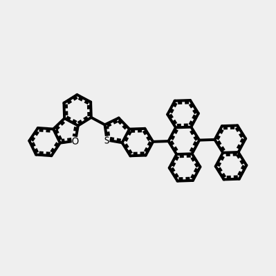 c1ccc2c(-c3c4ccccc4c(-c4ccc5sc(-c6cccc7c6oc6ccccc67)cc5c4)c4ccccc34)cccc2c1